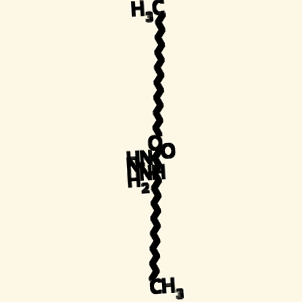 CCCCCCCCCCCCCCCCCCOC(=O)C(CCCCCCCCCCCCCCCCC)NC(=N)N